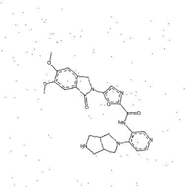 COc1cc2c(cc1OC)C(=O)N(c1cnc(C(=O)Nc3cnccc3N3CC4CNCC4C3)o1)C2